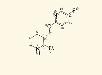 CCC1NCCC[C@@H]1COc1ccc(F)cn1